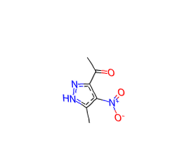 CC(=O)c1n[nH]c(C)c1[N+](=O)[O-]